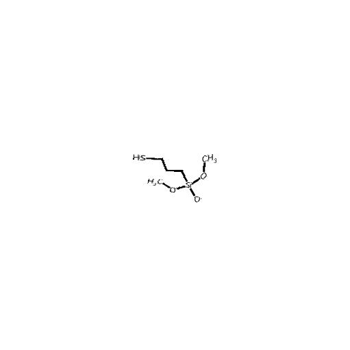 CO[Si]([O])(CCCS)OC